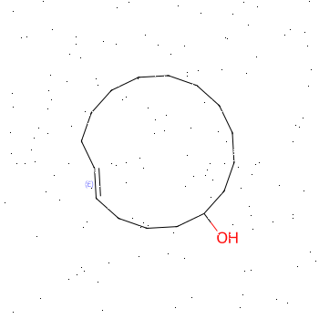 OC1CCC/C=C/CCCCCCCCCC1